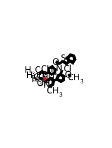 COc1ccc(-c2cc(C)nc(C)c2)cc1CN(C(=O)c1sc2ccccc2c1Cl)C1CCC(C(NC(=O)O)C(C)(C)C)CC1